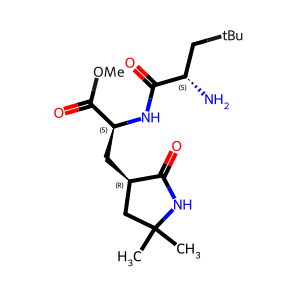 COC(=O)[C@H](C[C@@H]1CC(C)(C)NC1=O)NC(=O)[C@@H](N)CC(C)(C)C